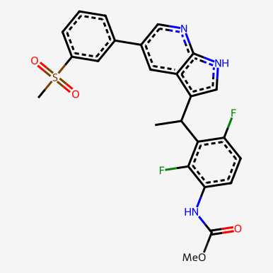 COC(=O)Nc1ccc(F)c(C(C)c2c[nH]c3ncc(-c4cccc(S(C)(=O)=O)c4)cc23)c1F